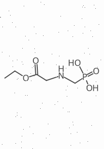 CCOC(=O)CNCP(=O)(O)O